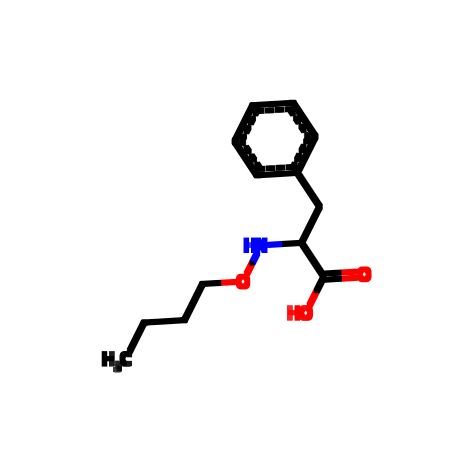 CCCCONC(Cc1ccccc1)C(=O)O